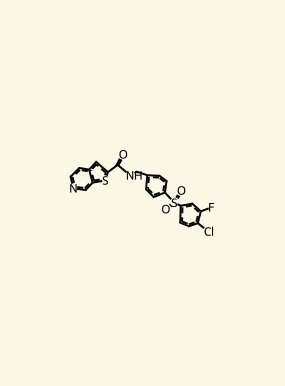 O=C(NCc1ccc(S(=O)(=O)c2ccc(Cl)c(F)c2)cc1)c1cc2ccncc2s1